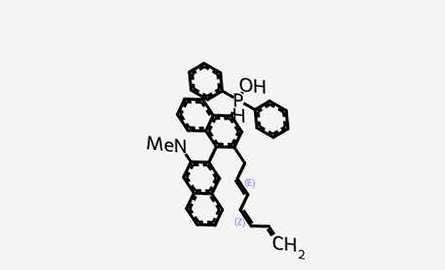 C=C/C=C\C=C\Cc1cc([PH](O)(c2ccccc2)c2ccccc2)c2ccccc2c1-c1cc2ccccc2cc1NC